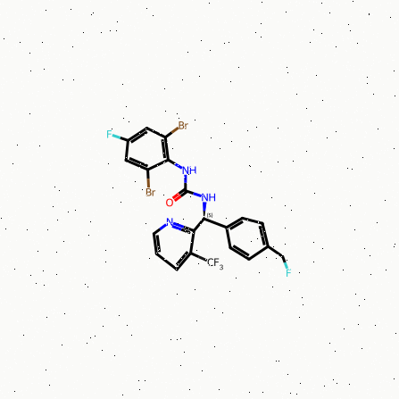 O=C(Nc1c(Br)cc(F)cc1Br)N[C@@H](c1ccc(CF)cc1)c1ncccc1C(F)(F)F